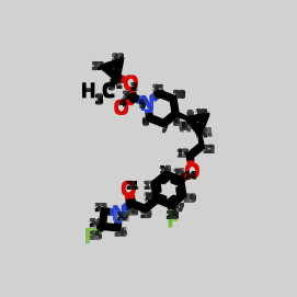 CC1(OC(=O)N2CCC([C@H]3C[C@H]3CCOc3ccc(CC(=O)N4CC(F)C4)c(F)c3)CC2)CC1